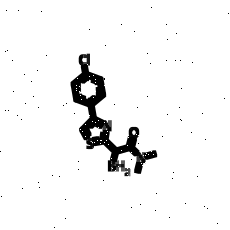 BC(C(=O)N(C)C)c1nc(-c2ccc(Cl)cc2)cs1